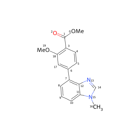 COC(=O)c1ccc(-c2cccc3c2ncn3C)cc1OC